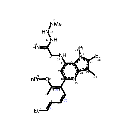 CC/C=C/C=C\C(=C(/C)OCCC)c1cc(NCC(=N)NNNC)c2c(n1)c(C)c(CC)n2C(C)C